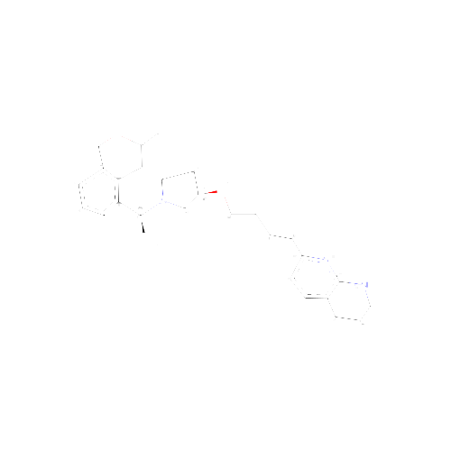 CCC1Cc2c(cccc2[C@H](C(=O)O)N2CC[C@@H](OCCCCc3ccc4c(n3)NCCC4)C2)CO1